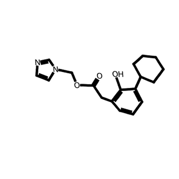 O=C(Cc1cccc(C2CCCCC2)c1O)OCn1ccnc1